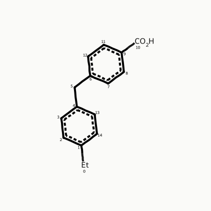 CCc1ccc(Cc2ccc(C(=O)O)cc2)cc1